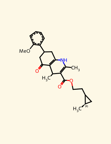 COc1ccccc1C1CC(=O)C2=C(C1)NC(C)=C(C(=O)OCCC1C[C@H]1C)C2C